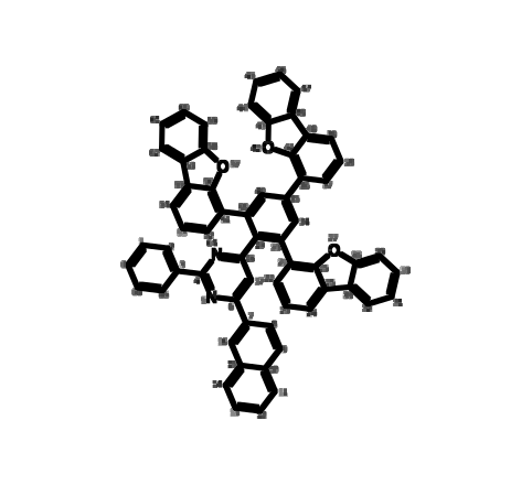 c1ccc(-c2nc(-c3ccc4ccccc4c3)cc(-c3c(-c4cccc5c4oc4ccccc45)cc(-c4cccc5c4oc4ccccc45)cc3-c3cccc4c3oc3ccccc34)n2)cc1